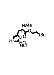 CN[C@@H](Cc1c[nH]cn1)C(=O)OCCC(C)(C)C.Cl.Cl